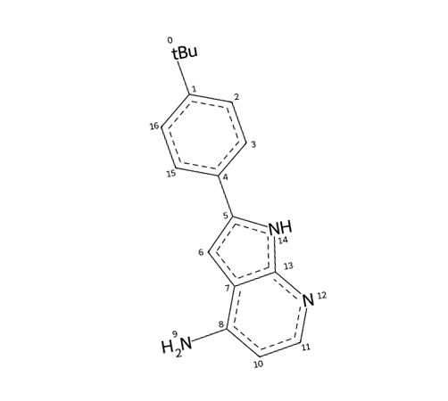 CC(C)(C)c1ccc(-c2cc3c(N)ccnc3[nH]2)cc1